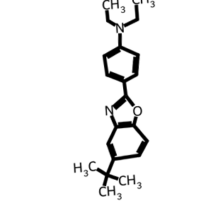 CCN(CC)c1ccc(-c2nc3cc(C(C)(C)C)ccc3o2)cc1